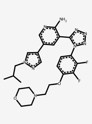 CC(C)Cn1cc(-c2cnc(N)c(-c3nnnn3-c3ccc(OCCN4CCOCC4)c(F)c3F)c2)cn1